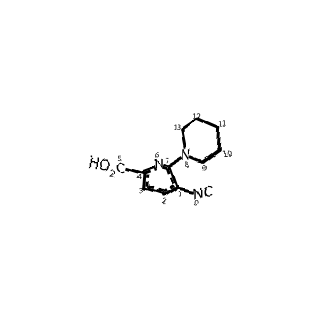 [C-]#[N+]c1ccc(C(=O)O)nc1N1CCCCC1